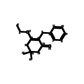 CCOC1=C(Cc2ccccc2)C(=O)CC(C)(C)C1